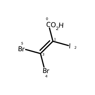 O=C(O)C(I)=C(Br)Br